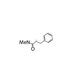 CNC(=O)[CH]Cc1ccccc1